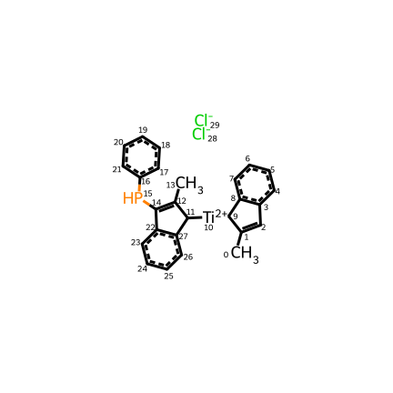 CC1=Cc2ccccc2[CH]1[Ti+2][CH]1C(C)=C(Pc2ccccc2)c2ccccc21.[Cl-].[Cl-]